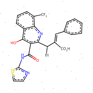 CCC(C(=Cc1ccccc1)C(=O)O)c1nc2c(C(F)(F)F)cccc2c(O)c1C(=O)Nc1nccs1